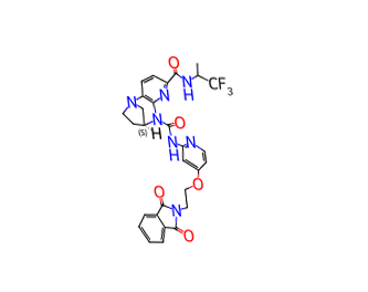 CC(NC(=O)c1ccc2c(n1)N(C(=O)Nc1cc(OCCN3C(=O)c4ccccc4C3=O)ccn1)[C@H]1CCN2C1)C(F)(F)F